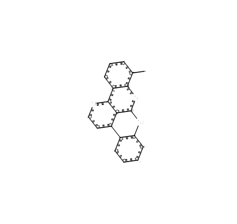 Fc1cccc2c1nc1c3c(ccnc32)-c2ccccc2N1